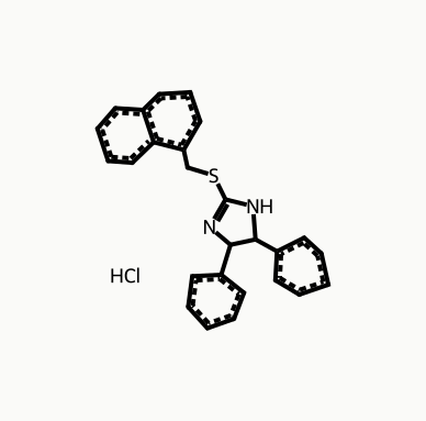 Cl.c1ccc(C2N=C(SCc3cccc4ccccc34)NC2c2ccccc2)cc1